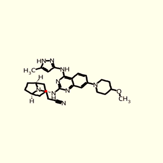 COC1CCN(c2ccc3c(Nc4cc(C)[nH]n4)nc(N[C@@H]4C[C@H]5CC[C@@H](C4)N5CCC#N)nc3c2)CC1